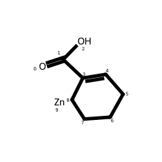 O=C(O)C1=CCCCC1.[Zn]